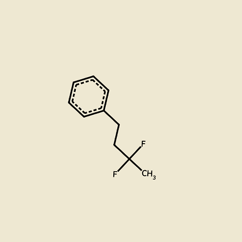 CC(F)(F)CCc1ccccc1